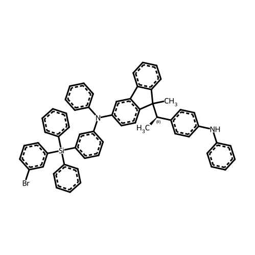 C[C@H](c1ccc(Nc2ccccc2)cc1)C1(C)c2ccccc2-c2cc(N(c3ccccc3)c3cccc([Si](c4ccccc4)(c4ccccc4)c4cccc(Br)c4)c3)ccc21